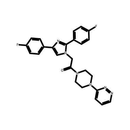 O=C(Cn1cc(-c2ccc(F)cc2)nc1-c1ccc(F)cc1)N1CCN(c2cccnn2)CC1